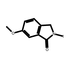 COc1ccc2c(c1)C(=O)N(I)C2